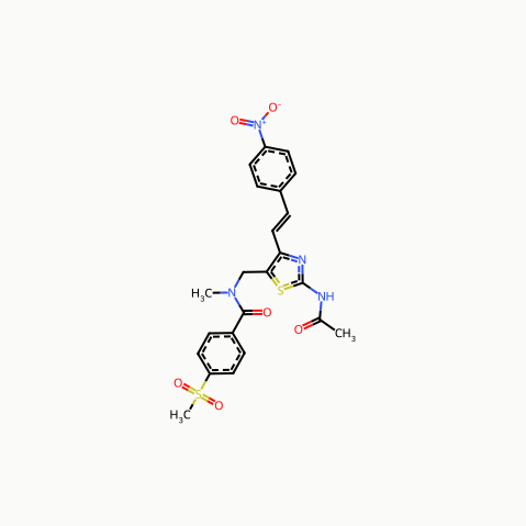 CC(=O)Nc1nc(C=Cc2ccc([N+](=O)[O-])cc2)c(CN(C)C(=O)c2ccc(S(C)(=O)=O)cc2)s1